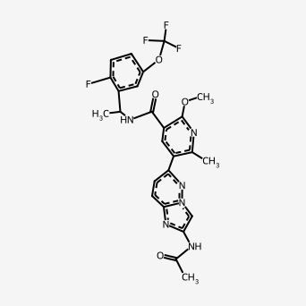 COc1nc(C)c(-c2ccc3nc(NC(C)=O)cn3n2)cc1C(=O)NC(C)c1cc(OC(F)(F)F)ccc1F